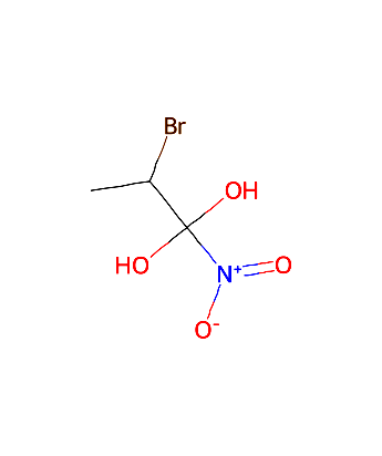 CC(Br)C(O)(O)[N+](=O)[O-]